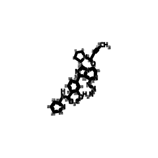 CC#CC(=O)N1CCC[C@H]1c1nc(-c2ccc(C(=O)Nc3ccccn3)c(OC)c2)c2c(N=NN)nccn12